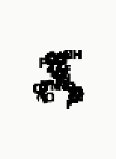 CCc1c(F)ccc2cc(O)cc(-c3ncc4c(N(C)CC(C)CC(=O)N(C)C(C)=O)nc(OC[C@@]56CCCN5C[C@H](F)C6)nc4c3F)c12